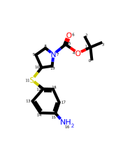 CC(C)(C)OC(=O)N1CCC(Sc2ccc(N)cc2)C1